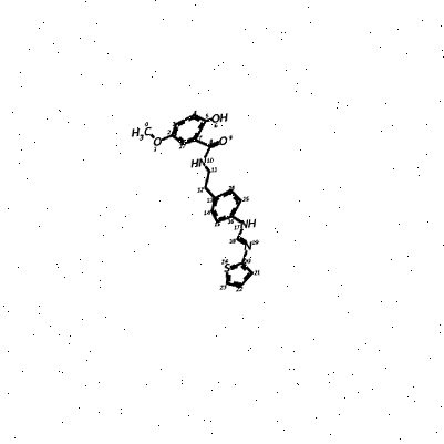 COc1ccc(O)c(C(=O)NCCc2ccc(NC=Nc3cccs3)cc2)c1